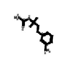 CC(C)(CCc1cccc(N)c1)OC(N)=O